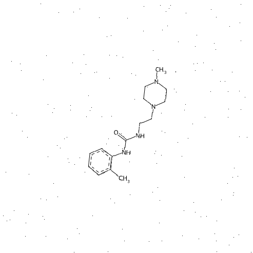 Cc1ccccc1NC(=O)NCCN1CCN(C)CC1